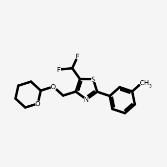 Cc1cccc(-c2nc(COC3CCCCO3)c(C(F)F)s2)c1